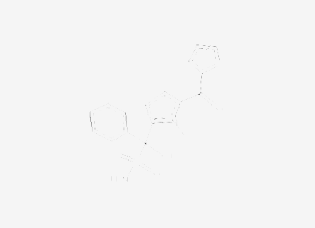 Cn1c(C(=O)c2cccs2)ccc1C(C)(c1ccccc1)S(N)(=O)=O